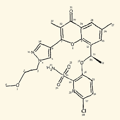 COCCn1cc(-c2oc3c([C@@H](C)Oc4ccc(Cl)nc4S(N)(=O)=O)cc(C)cc3c(=O)c2C)cn1